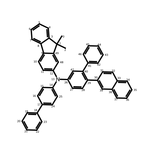 CC1(C)c2ccccc2-c2ccc(N(c3ccc(-c4ccccc4)cc3)c3ccc(-c4ccc5ccccc5c4)c(-c4ccccc4)c3)cc21